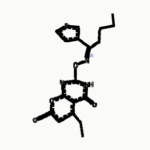 CCCC/C(=N/Oc1nc2oc(=O)cc(CC)c2c(=O)[nH]1)c1ccsc1